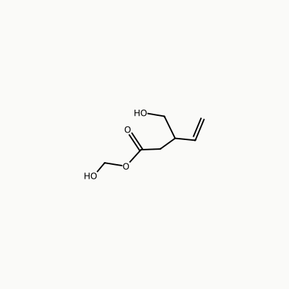 C=CC(CO)CC(=O)OCO